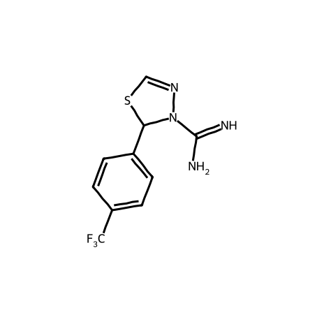 N=C(N)N1N=CSC1c1ccc(C(F)(F)F)cc1